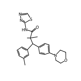 Cc1cccc(C(c2ccc(N3CCOCC3)cc2)C(C)(C)C(=O)Nc2nncs2)c1